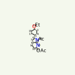 CCOc1ccc(-c2cc3ccc(OC(C)=O)nc3n2C(C)=O)cc1